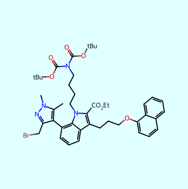 CCOC(=O)c1c(CCCOc2cccc3ccccc23)c2cccc(-c3c(CBr)nn(C)c3C)c2n1CCCCN(C(=O)OC(C)(C)C)C(=O)OC(C)(C)C